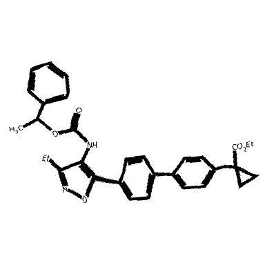 CCOC(=O)C1(c2ccc(-c3ccc(-c4onc(CC)c4NC(=O)OC(C)c4ccccc4)cc3)cc2)CC1